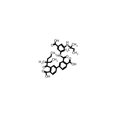 CCCC(C)(CC)C(=O)c1cc(-c2ccc(C(=O)O)c(C(=O)Nc3cc(NC(C)(C)CC)cc(C(=O)O)c3)c2)ccc1C(=O)O